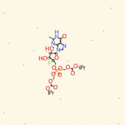 Cc1nc2c(ncn2[C@@H]2O[C@](F)(COP(=O)(OCOC(=O)OC(C)C)OCOC(=O)OC(C)C)[C@@H](O)[C@@]2(C)O)c(=O)[nH]1